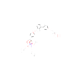 Cc1cc(OCCC(C)(C)O)cc(C)c1-c1cccc2c1CC[C@H]2Oc1ccc(C(CC(=O)O)CS(=O)(=O)N(COCC[Si](C)(C)C)COCC[Si](C)(C)C)cc1